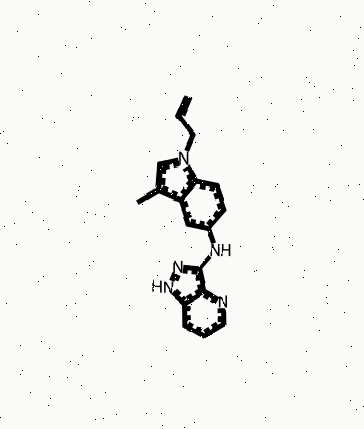 C=CCn1cc(C)c2cc(Nc3n[nH]c4cccnc34)ccc21